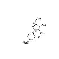 CNc1ccn([C@@H]2O[C@H](CO)C(O)C2O)c(=O)n1